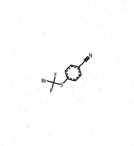 N#Cc1ccc(SC(F)(F)Br)cc1